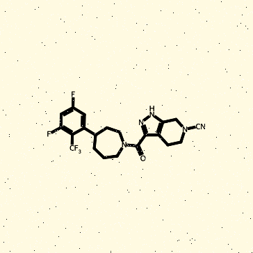 N#CN1CCc2c(C(=O)N3CCCC(c4cc(F)cc(F)c4C(F)(F)F)CC3)n[nH]c2C1